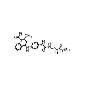 CCC(=O)N1c2ccccc2[C@H](Nc2ccc(NC(=O)NCCNC(=O)OC(C)(C)C)cc2)C[C@@H]1C